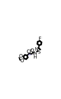 O=C(/C=C(/c1ccc2c(c1)OCCO2)C(F)(F)F)Nc1nc(-c2ccc(F)cc2)cs1